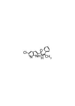 C[C@@H](NC(=O)c1cc2cc(Cl)cnc2[nH]1)c1ccccc1